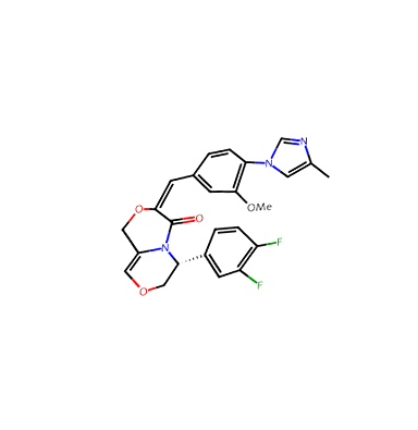 COc1cc(C=C2OCC3=COC[C@@H](c4ccc(F)c(F)c4)N3C2=O)ccc1-n1cnc(C)c1